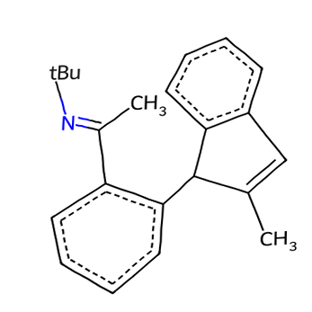 CC1=Cc2ccccc2C1c1ccccc1/C(C)=N/C(C)(C)C